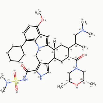 COc1ccc(C2CCCCC2)c2c1cc1n2Cc2c(c[nH]c2C(=O)NS(=O)(=O)N(C)C)C2C[C@@H](C(=O)N3C[C@@H](C)O[C@@H](C)C3)C(C(C)CN(C)C)C[C@@H]12